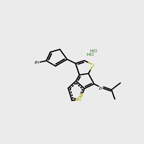 C[C](C)=[Zr][C]1=c2sccc2=C2C(C3=CC(C(C)C)=CC3)=CSC21.Cl.Cl